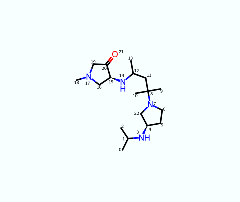 CC(C)N[C@@H]1CCN(C(C)(C)CC(C)N[C@H]2CN(C)CC2=O)C1